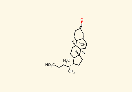 CC(CCC(=O)O)[C@H]1CC[C@H]2[C@@H]3CCC4CC(=C=O)CC[C@]4(C)[C@H]3CC[C@]12C